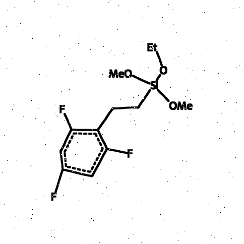 CCO[Si](CCc1c(F)cc(F)cc1F)(OC)OC